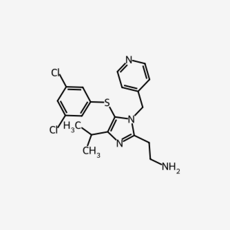 CC(C)c1nc(CCN)n(Cc2ccncc2)c1Sc1cc(Cl)cc(Cl)c1